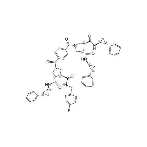 O=C(NCc1ccc(F)cc1)[C@@H]1CN(C(=O)c2ccc(C(=O)N3C[C@@H](C(=O)N[C@H]4C[C@@H]4c4ccccc4)[C@H](C(=O)N[C@H]4C[C@@H]4c4ccccc4)C3)cc2)C[C@H]1C(=O)N[C@H]1C[C@@H]1c1ccccc1